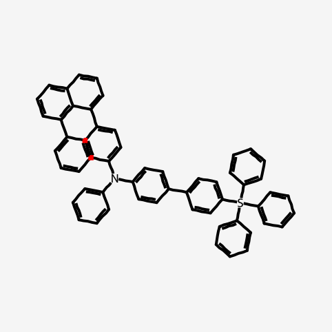 c1ccc(-c2cccc3cccc(-c4ccc(N(c5ccccc5)c5ccc(-c6ccc(S(c7ccccc7)(c7ccccc7)c7ccccc7)cc6)cc5)cc4)c23)cc1